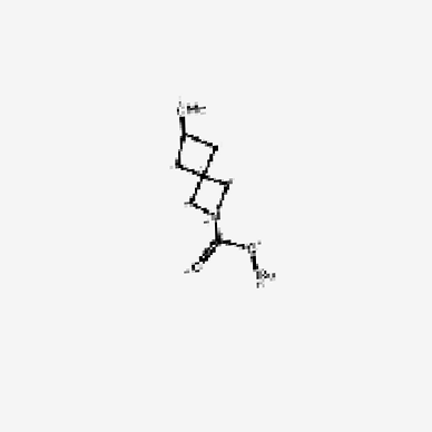 COC1CC2(C1)CN(C(=O)OC(C)(C)C)C2